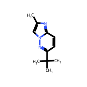 Cc1cn2nc(C(C)(C)C)ccc2n1